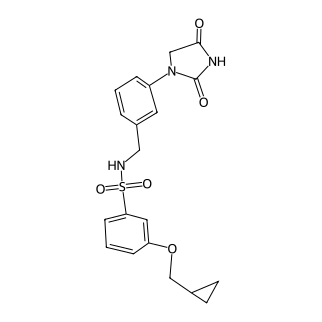 O=C1CN(c2cccc(CNS(=O)(=O)c3cccc(OCC4CC4)c3)c2)C(=O)N1